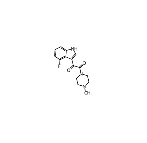 CN1CCN(C(=O)C(=O)c2c[nH]c3cccc(F)c23)CC1